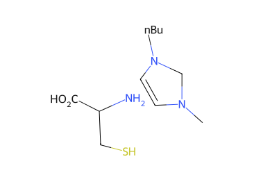 CCCCN1C=CN(C)C1.NC(CS)C(=O)O